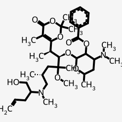 C=CCC(CO)N(C)C[C@H](C)CC(C)(OC)[C@H](OC1OC(C)CC(N(C)C)C1OC(=O)c1ccccc1)[C@@H](C)C1=C(C)C(=O)OC(C)(C)O1